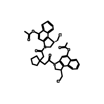 CC(=O)Oc1cc2c(c3ccccc13)C(CCl)CN2C(=O)CC1(CC(=O)N2C[C@@H](CCl)c3c2cc(OC(C)=O)c2ccccc32)CCCC1